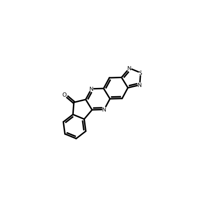 O=C1c2ccccc2-c2nc3cc4nsnc4cc3nc21